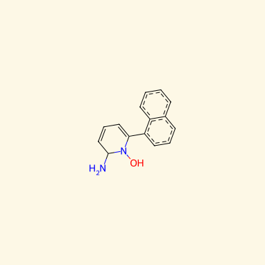 NC1C=CC=C(c2cccc3ccccc23)N1O